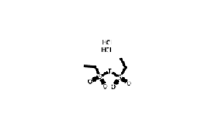 CC[S](=O)(=O)[Ti][S](=O)(=O)CC.Cl.Cl